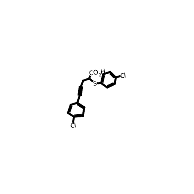 O=C(O)C(CC#Cc1ccc(Cl)cc1)Sc1ccc(Cl)cc1